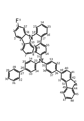 Fc1ccc2c3ccccc3n(-c3ccccc3-c3ccc(N(c4ccc(-c5ccccc5)cc4)c4ccc(-c5ccc6sc7ccccc7c6c5)cc4)cc3)c2c1